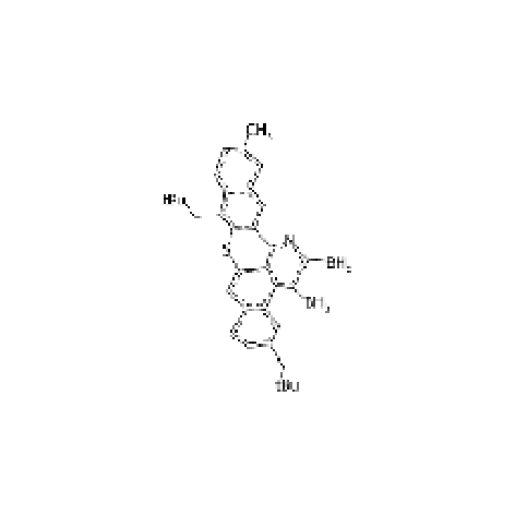 Bc1nc2c3c(cc4ccc(CC(C)(C)C)cc4c3c1B)Sc1c-2cc2cc(C)ccc2c1CC(C)(C)C